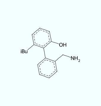 CCC(C)c1cccc(O)c1-c1ccccc1CN